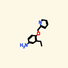 CCc1cc(N)ccc1OCc1ccccn1